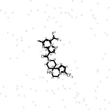 Cc1cc(C(F)F)n2ncc(C(=O)N3CCC4(CC3)NCCn3c(C(F)(F)F)ccc34)c2n1